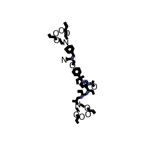 C=CC(=O)OCCN(CCOC(=O)C=C)c1ccc(/C=C(\C#N)COc2ccc(C(C)(CC)/C(C=C)=C/C=C(\C)OC(C)/C(C#N)=C/C(C=C)=C/CC(C)N(CCOC(=O)C=C)CCOC(=O)CC)cc2)cc1